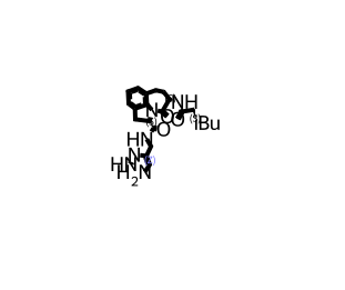 CC[C@H](C)CC(=O)N[C@H]1CCc2cccc3c2N(C1=O)[C@H](C(=O)NC/C(=C/N)N=N)C3